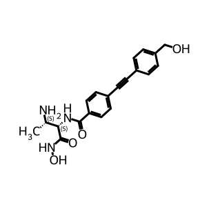 C[C@H](N)[C@H](NC(=O)c1ccc(C#Cc2ccc(CO)cc2)cc1)C(=O)NO